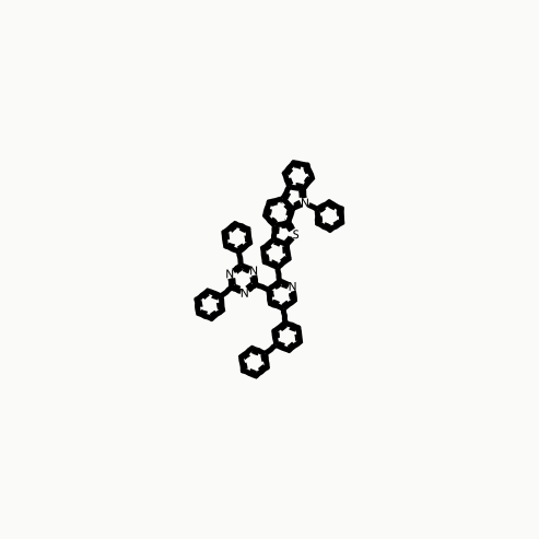 c1ccc(-c2cccc(-c3cnc(-c4ccc5c(c4)sc4c5ccc5c6ccccc6n(-c6ccccc6)c54)c(-c4nc(-c5ccccc5)nc(-c5ccccc5)n4)c3)c2)cc1